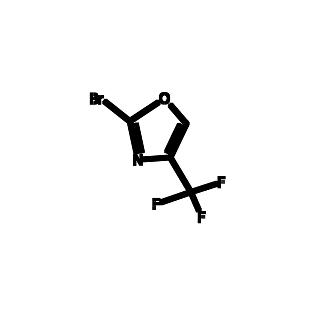 FC(F)(F)c1coc(Br)n1